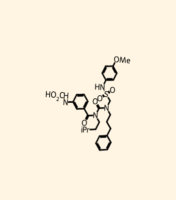 COc1ccc(NS(=O)(=O)CN(CCCc2ccccc2)C(=O)N(CCC(C)C)C(=O)c2cccc(NC(=O)O)c2)cc1